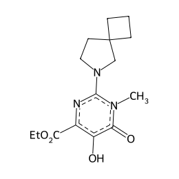 CCOC(=O)c1nc(N2CCC3(CCC3)C2)n(C)c(=O)c1O